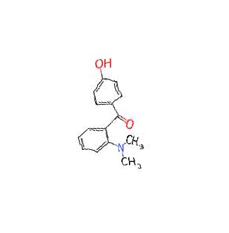 CN(C)c1ccccc1C(=O)c1ccc(O)cc1